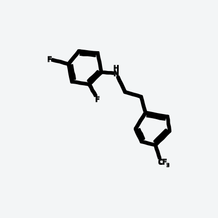 Fc1ccc(NCCc2ccc(C(F)(F)F)cc2)c(F)c1